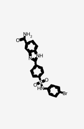 NC(=O)c1ccc2[nH]c(-c3ccc(S(=O)(=O)Nc4ccc(Br)cc4)cc3)nc2c1